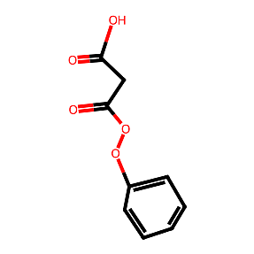 O=C(O)CC(=O)OOc1ccccc1